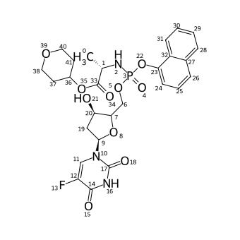 C[C@H](NP(=O)(OCC1O[C@@H](n2cc(F)c(=O)[nH]c2=O)C[C@H]1O)Oc1cccc2ccccc12)C(=O)OC1CCOCC1